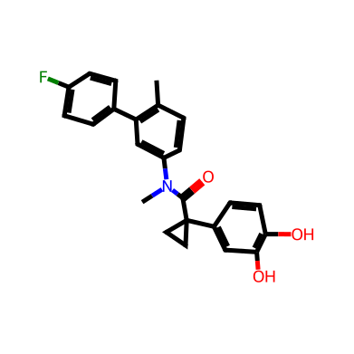 Cc1ccc(N(C)C(=O)C2(c3ccc(O)c(O)c3)CC2)cc1-c1ccc(F)cc1